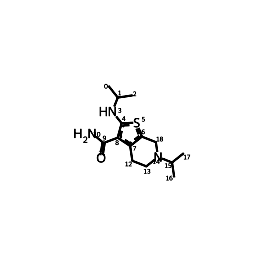 CC(C)Nc1sc2c(c1C(N)=O)CCN(C(C)C)C2